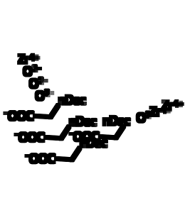 CCCCCCCCCCCC(=O)[O-].CCCCCCCCCCCC(=O)[O-].CCCCCCCCCCCC(=O)[O-].CCCCCCCCCCCC(=O)[O-].[O-2].[O-2].[O-2].[O-2].[Zr+4].[Zr+4].[Zr+4]